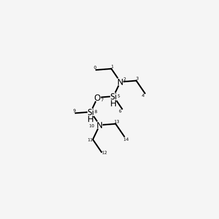 CCN(CC)[SiH](C)O[SiH](C)N(CC)CC